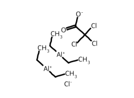 C[CH2][Al+][CH2]C.C[CH2][Al+][CH2]C.O=C([O-])C(Cl)(Cl)Cl.[Cl-]